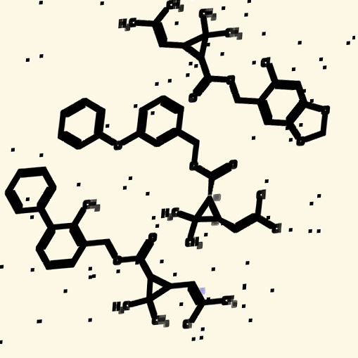 CC(C)=CC1C(C(=O)OCc2cc3c(cc2Cl)OCO3)C1(C)C.CC1(C)[C@H](C=C(Cl)Cl)[C@H]1C(=O)OCc1cccc(Oc2ccccc2)c1.Cc1c(COC(=O)C2C(/C=C(\Cl)C(F)(F)F)C2(C)C)cccc1-c1ccccc1